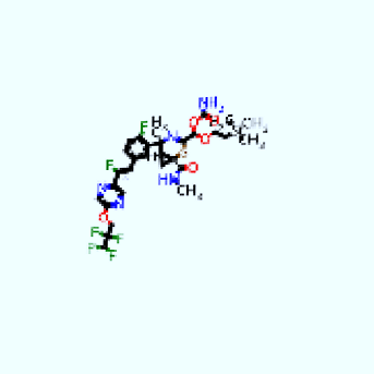 CNC(=O)[C@]12C[C@H]1[C@@](C)(c1cc(/C=C(\F)c3cnc(OCC(F)(F)C(F)F)cn3)ccc1F)N=C(C(OCC[Si](C)(C)C)OC(N)=O)S2